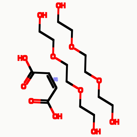 O=C(O)/C=C\C(=O)O.OCCOCCOCCO.OCCOCCOCCO